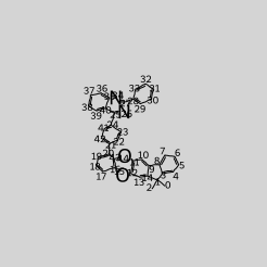 CC1(C)c2ccccc2-c2cc3c(cc21)Oc1cccc(-c2ccc(-c4nc(-c5ccccc5)nc5ccccc45)cc2)c1O3